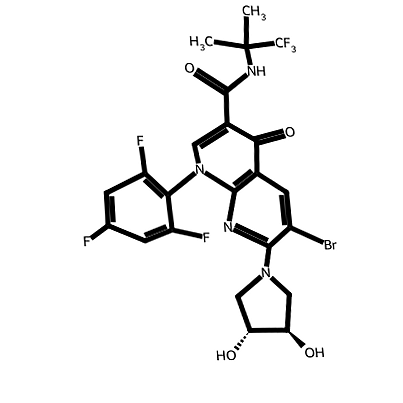 CC(C)(NC(=O)c1cn(-c2c(F)cc(F)cc2F)c2nc(N3C[C@@H](O)[C@H](O)C3)c(Br)cc2c1=O)C(F)(F)F